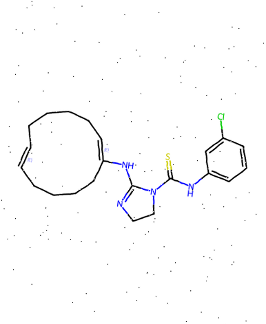 S=C(Nc1cccc(Cl)c1)N1CCN=C1N/C1=C/CCCC/C=C/CCCC1